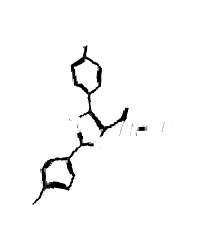 Cc1ccc(-c2nc(-c3ccc(F)cc3)c(C(=O)NO)s2)cc1